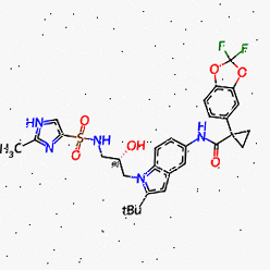 Cc1nc(S(=O)(=O)NC[C@H](O)Cn2c(C(C)(C)C)cc3cc(NC(=O)C4(c5ccc6c(c5)OC(F)(F)O6)CC4)ccc32)c[nH]1